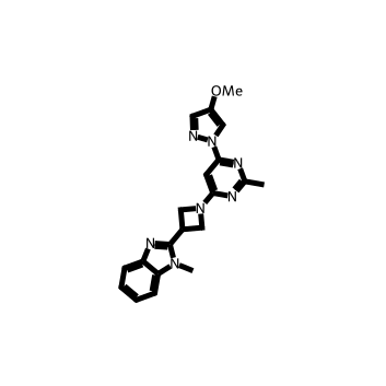 COc1cnn(-c2cc(N3CC(c4nc5ccccc5n4C)C3)nc(C)n2)c1